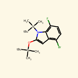 CC(C)(C)[Si](C)(C)Oc1cc2c(Br)ccc(F)c2n1[Si](C)(C)C(C)(C)C